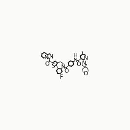 Cc1cnc(N2CC3(CCOCC3)C2)c(C(=O)Nc2ccc(C(=O)N3CCc4cc(C(=O)c5ncc6ccccn56)sc4-c4ccc(F)cc43)cc2)c1